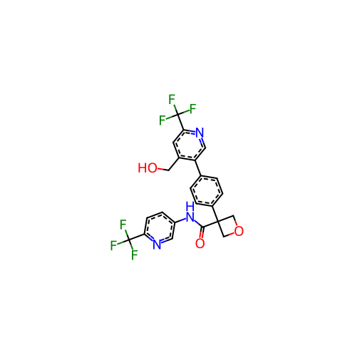 O=C(Nc1ccc(C(F)(F)F)nc1)C1(c2ccc(-c3cnc(C(F)(F)F)cc3CO)cc2)COC1